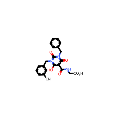 N#Cc1cccc(Cn2c(O)c(C(=O)NCC(=O)O)c(=O)n(Cc3ccccc3)c2=O)c1